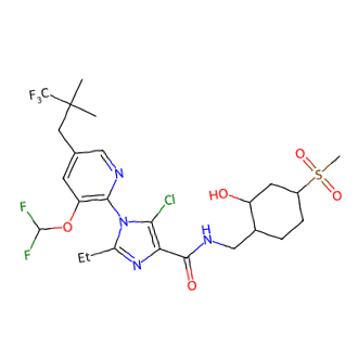 CCc1nc(C(=O)NCC2CCC(S(C)(=O)=O)CC2O)c(Cl)n1-c1ncc(CC(C)(C)C(F)(F)F)cc1OC(F)F